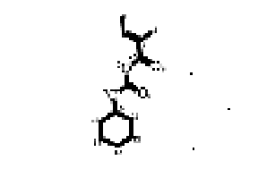 CC=C(C)C(=O)OC(=O)OC1CCCCC1